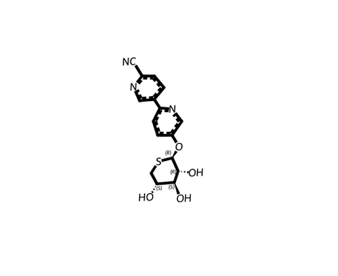 N#Cc1ccc(-c2ccc(O[C@@H]3SC[C@@H](O)[C@H](O)[C@H]3O)cn2)cn1